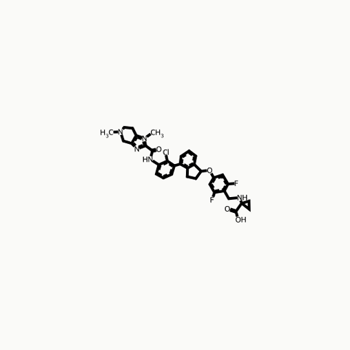 CN1CCc2c(nc(C(=O)Nc3cccc(-c4cccc5c4CCC5Oc4cc(F)c(CNC5(C(=O)O)CC5)c(F)c4)c3Cl)n2C)C1